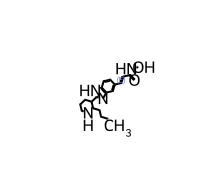 CCCCC1NCCCC1c1nc2cc(/C=C/C(=O)NO)ccc2[nH]1